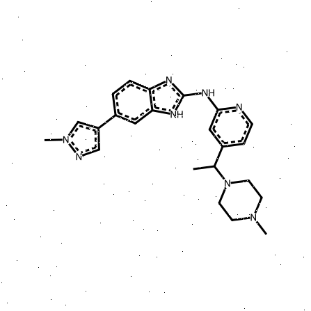 CC(c1ccnc(Nc2nc3ccc(-c4cnn(C)c4)cc3[nH]2)c1)N1CCN(C)CC1